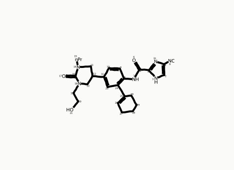 [C-]#[N+]c1c[nH]c(C(=O)Nc2ccc(C3CN(CCC)C(=O)N(CCO)C3)cc2C2=CCCCC2)n1